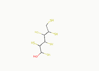 OC(S)C(S)C(S)C(S)C(S)CS